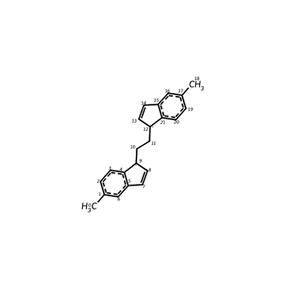 Cc1ccc2c(c1)C=C[C]2CC[C]1C=Cc2cc(C)ccc21